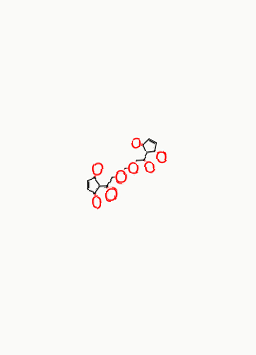 O=C1C=CC(=O)C1C(=O)COCOCC(=O)C1C(=O)C=CC1=O